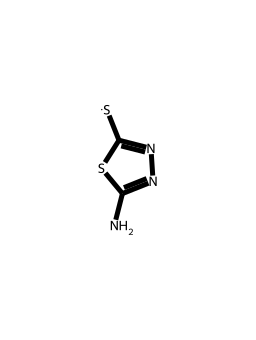 Nc1nnc([S])s1